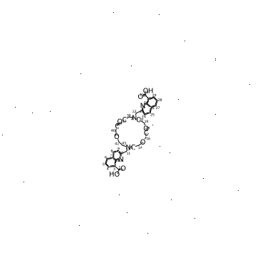 O=C(O)c1cccc2ccc(CN3CCOCCOCCN(Cc4ccc5cccc(C(=O)O)c5n4)CCOCCOCC3)nc12